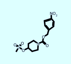 CS(=O)(=O)OC1CCN(C(=O)OCc2ccc([N+](=O)[O-])cc2)CC1